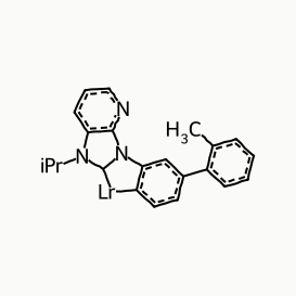 Cc1ccccc1-c1cc[c]2c(c1)N1c3ncccc3N(C(C)C)[CH]1[Lr]2